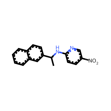 C[C](Nc1ccc([N+](=O)[O-])cn1)c1ccc2ccccc2c1